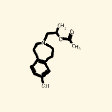 CC(=O)OC(C)CN1CCc2ccc(O)cc2CC1